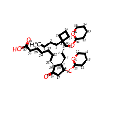 CCCCC1([C@@H](CC[C@H]2[C@H](OC3CCCCO3)CC(=O)[C@@H]2CCCCCCC(=O)O)OC2CCCCO2)CCC1